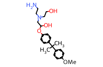 COc1ccc(C(C)(C)c2ccc(OC(O)CN(CCN)CCO)cc2)cc1